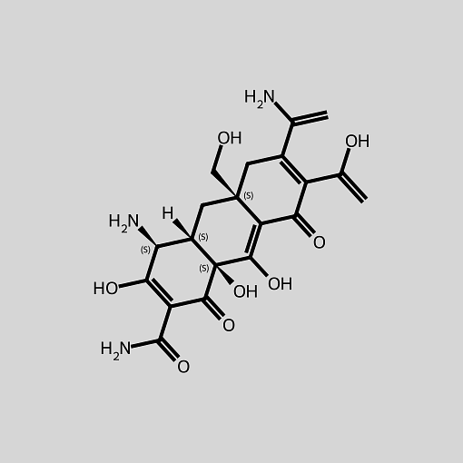 C=C(N)C1=C(C(=C)O)C(=O)C2=C(O)[C@]3(O)C(=O)C(C(N)=O)=C(O)[C@@H](N)[C@@H]3C[C@]2(CO)C1